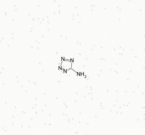 N[C]1N=NN=N1